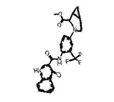 COC(=O)C1C2CC2CN1c1ccc(NC(=O)c2c[nH]c3ccccc3c2=O)c(C(F)(F)F)c1